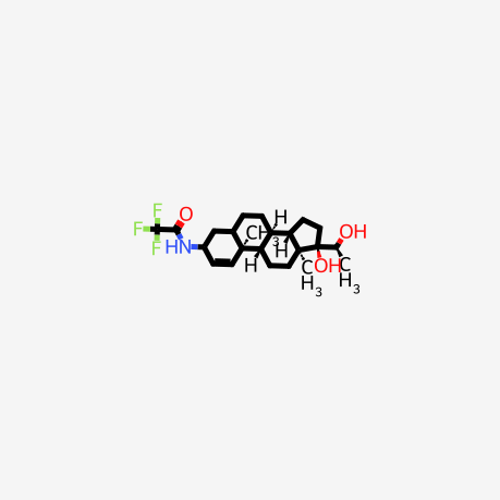 C[C@H](O)[C@@]1(O)CC[C@H]2[C@@H]3CCC4CC(NC(=O)C(F)(F)F)C=C[C@]4(C)[C@H]3CC[C@@]21C